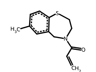 C=CC(=O)N1CCSc2ccc(C)cc2C1